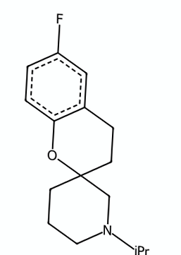 CC(C)N1CCCC2(CCc3cc(F)ccc3O2)C1